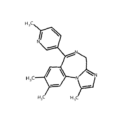 Cc1ccc(C2=NCc3ncc(C)n3-c3cc(C)c(C)cc32)cn1